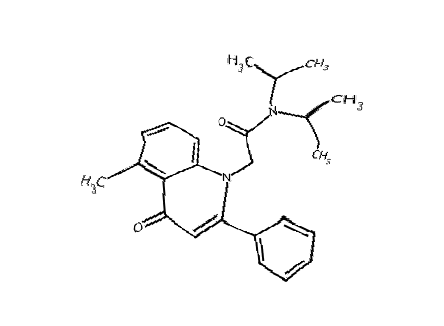 Cc1cccc2c1c(=O)cc(-c1ccccc1)n2CC(=O)N(C(C)C)C(C)C